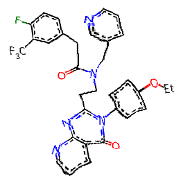 CCOc1ccc(-n2c(CCN(Cc3cccnc3)C(=O)Cc3ccc(F)c(C(F)(F)F)c3)nc3ncccc3c2=O)cc1